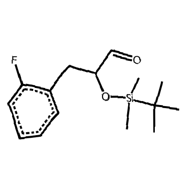 CC(C)(C)[Si](C)(C)OC(C=O)Cc1ccccc1F